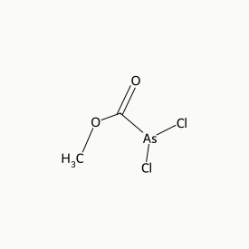 COC(=O)[As](Cl)Cl